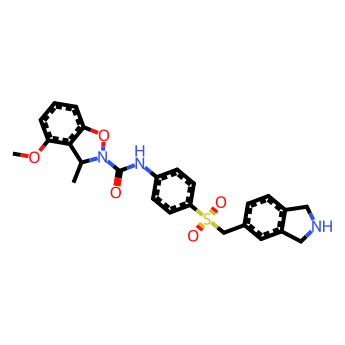 COc1cccc2c1C(C)N(C(=O)Nc1ccc(S(=O)(=O)Cc3ccc4c(c3)CNC4)cc1)O2